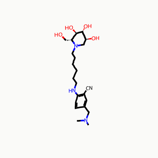 CN(C)Cc1ccc(NCCCCCCN2C[C@H](O)[C@@H](O)[C@H](O)[C@H]2CO)c(C#N)c1